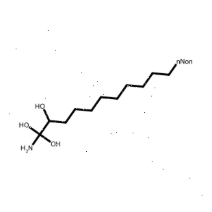 CCCCCCCCCCCCCCCCCCC(O)C(N)(O)O